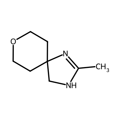 CC1=NC2(CCOCC2)CN1